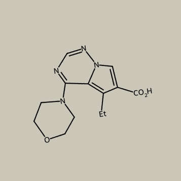 CCc1c(C(=O)O)cn2ncnc(N3CCOCC3)c12